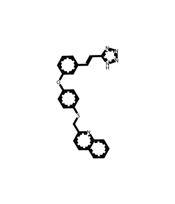 C(=C\c1nnn[nH]1)/c1cccc(Oc2ccc(SCc3ccc4ccccc4n3)cc2)c1